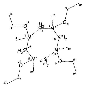 CCO[N+]1(C)[SiH2][N+](C)(OCC)[SiH2][N+](C)(OCC)[SiH2][N+](C)(OCC)[SiH2]1